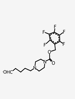 O=[C]CCCCN1CCN(C(=O)OCc2c(F)c(F)c(F)c(F)c2F)CC1